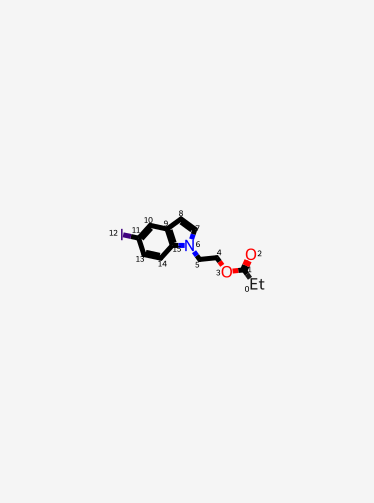 CCC(=O)OCCn1ccc2cc(I)ccc21